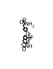 COC(=O)C(N)Cc1ccc(Oc2ccc(/C=C3/SC(=O)NC3=O)cc2C(F)(F)F)cc1